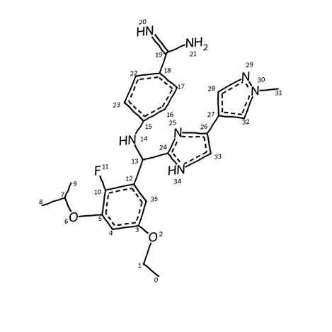 CCOc1cc(OC(C)C)c(F)c(C(Nc2ccc(C(=N)N)cc2)c2nc(-c3cnn(C)c3)c[nH]2)c1